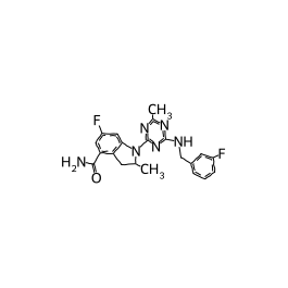 Cc1nc(NCc2cccc(F)c2)nc(N2c3cc(F)cc(C(N)=O)c3CC2C)n1